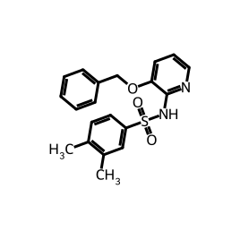 Cc1ccc(S(=O)(=O)Nc2ncccc2OCc2ccccc2)cc1C